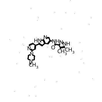 Cc1[nH]nc(C(=O)Nc2cnc3[nH]c(-c4ccnc(N5CCN(C)CC5)c4)cc3c2)c1C